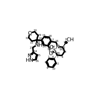 C#C[C@H]1CC[C@H](c2ccccc2)S(=O)(=O)N1Cc1ccc(C2(NCc3cc[nH]n3)CCOCC2)cc1F